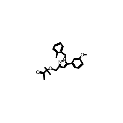 COc1cccc(-c2cc(COC(C)(C)C(C)=O)nn2Cc2ccccc2C)c1